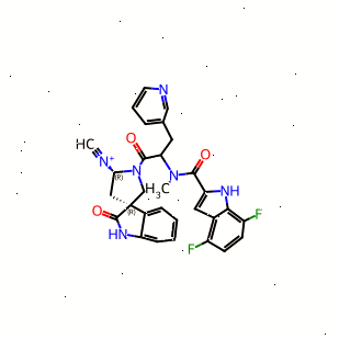 C#[N+][C@@H]1C[C@@]2(CN1C(=O)C(Cc1cccnc1)N(C)C(=O)c1cc3c(F)ccc(F)c3[nH]1)C(=O)Nc1ccccc12